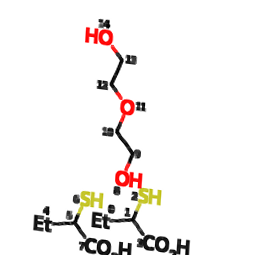 CCC(S)C(=O)O.CCC(S)C(=O)O.OCCOCCO